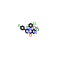 Cc1c(Cl)ncc(C(=O)N2CCC(c3ccc(F)cc3)CC2)c1Nc1cc(Cl)ccc1F